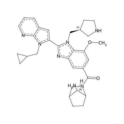 COc1cc(C(=O)N2CC3CCC2[C@@H]3N)cc2nc(-c3cc4cccnc4n3CC3CC3)n(C[C@H]3CCNC3)c12